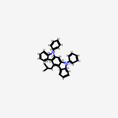 CC(C)Cc1c2c3ccccc3n(-c3ccccc3)c2cc2c1c1ccccc1n2-c1ccccc1